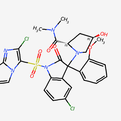 COc1ccccc1C1(N2C[C@H](O)C[C@H]2C(=O)N(C)C)C(=O)N(S(=O)(=O)c2c(Cl)nc3sccn23)c2ccc(Cl)cc21